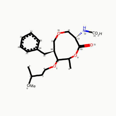 COC(C)CCOC1C(C)OC(=O)[C@@H](NC(=O)O)COC[C@@H]1Cc1ccccc1